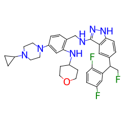 FCC(c1ccc2[nH]nc(NCc3ccc(N4CCN(C5CC5)CC4)cc3NC3CCOCC3)c2c1)c1cc(F)ccc1F